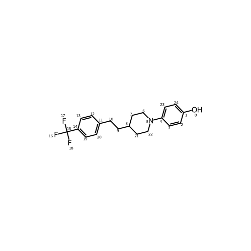 Oc1ccc(N2CCC(CCc3ccc(C(F)(F)F)cc3)CC2)cc1